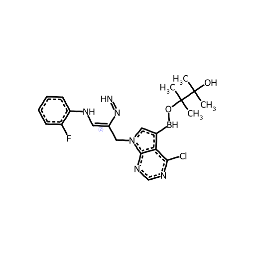 CC(C)(O)C(C)(C)OBc1cn(C/C(=C/Nc2ccccc2F)N=N)c2ncnc(Cl)c12